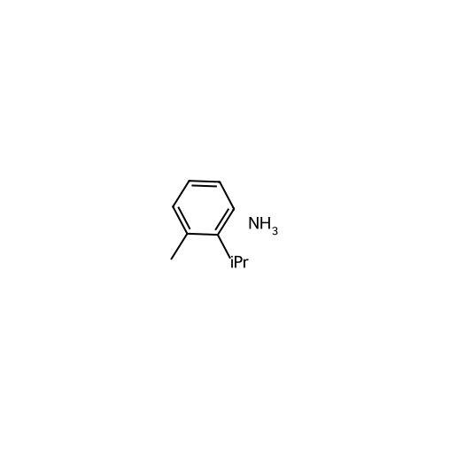 Cc1ccccc1C(C)C.N